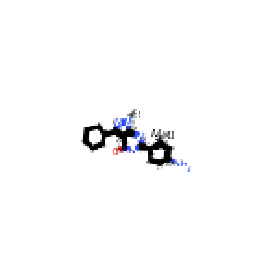 CCn1nc(C2CCCCC2)c2c(=O)[nH]c(-c3ccc(N)cc3OC)nc21